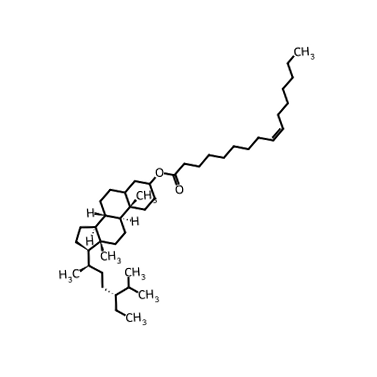 CCCCCC/C=C\CCCCCCCC(=O)OC1CC[C@@]2(C)C(CC[C@H]3[C@@H]4CC[C@H]([C@H](C)CC[C@@H](CC)C(C)C)[C@@]4(C)CC[C@@H]32)C1